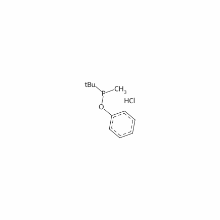 CP(Oc1ccccc1)C(C)(C)C.Cl